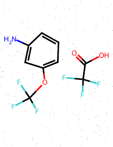 Nc1cccc(OC(F)(F)F)c1.O=C(O)C(F)(F)F